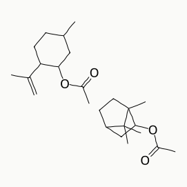 C=C(C)C1CCC(C)CC1OC(C)=O.CC(=O)OC1CC2CCC1(C)C2(C)C